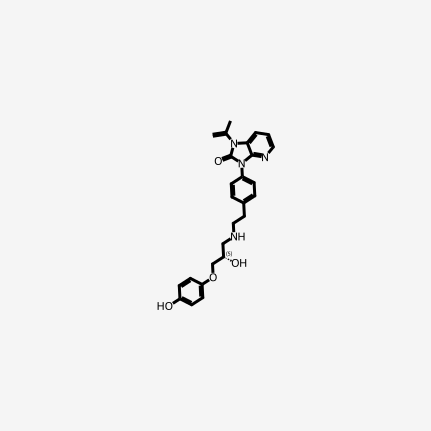 C=C(C)n1c(=O)n(-c2ccc(CCNC[C@H](O)COc3ccc(O)cc3)cc2)c2ncccc21